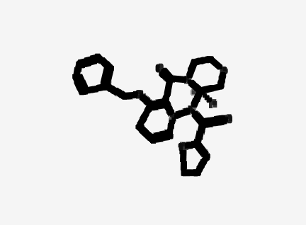 O=C1C2=C(OCc3ccccc3)CC=CN2N(C(=O)C2CCCO2)[C@@H]2COCCN12